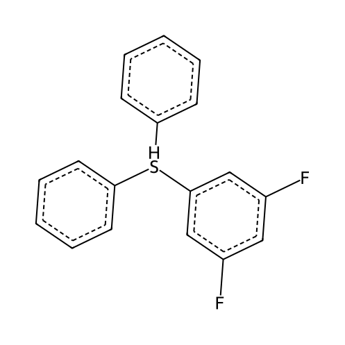 Fc1cc(F)cc([SH](c2ccccc2)c2ccccc2)c1